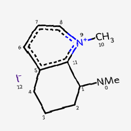 CNC1CCCc2ccc[n+](C)c21.[I-]